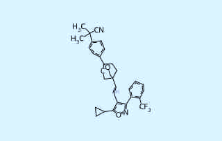 CC(C)(C#N)c1ccc(C23CCC(/C=C/c4c(-c5ccccc5C(F)(F)F)noc4C4CC4)(CC2)CO3)cc1